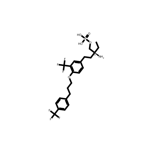 CC[C@](N)(CCc1ccc(OCCCc2ccc(C(F)(F)F)cc2)c(C(F)(F)F)c1)COP(=O)(O)O